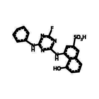 O=S(=O)(O)c1cc(Nc2nc(F)nc(Nc3ccccc3)n2)c2c(O)cccc2c1